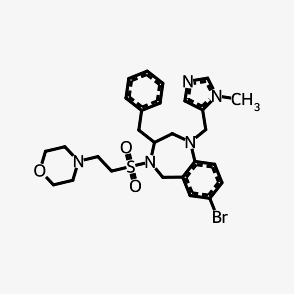 Cn1cncc1CN1CC(Cc2ccccc2)N(S(=O)(=O)CCN2CCOCC2)Cc2cc(Br)ccc21